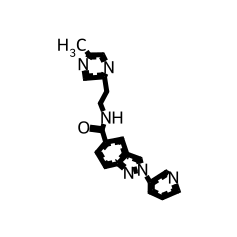 Cc1cnc(CCNC(=O)c2ccc3nn(-c4cccnc4)cc3c2)cn1